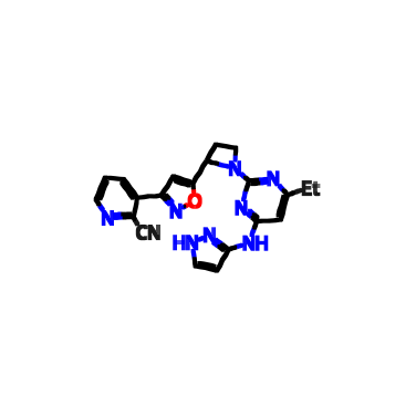 CCc1cc(Nc2cc[nH]n2)nc(N2CCC2c2cc(-c3cccnc3C#N)no2)n1